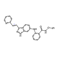 CC(C)ONC(=O)c1ccccc1Nc1ccc2c(/C=C/c3ccccn3)n[nH]c2c1